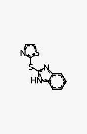 c1ccc2[nH]c(Sc3nccs3)nc2c1